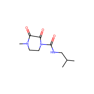 CC(C)CNC(=O)N1CCN(C)C(=O)C1=O